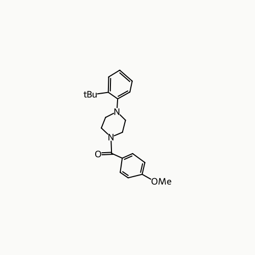 COc1ccc(C(=O)N2CCN(c3ccccc3C(C)(C)C)CC2)cc1